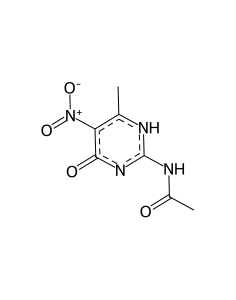 CC(=O)Nc1nc(=O)c([N+](=O)[O-])c(C)[nH]1